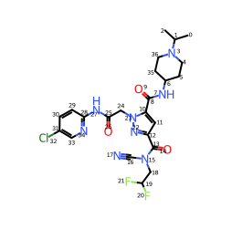 CC(C)N1CCC(NC(=O)c2cc(C(=O)N(C#N)CC(F)F)nn2CC(=O)Nc2ccc(Cl)cn2)CC1